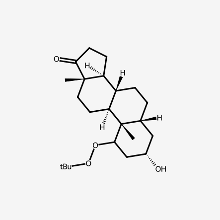 CC(C)(C)OOC1C[C@@H](O)C[C@H]2CC[C@@H]3[C@H](CC[C@]4(C)C(=O)CC[C@@H]34)[C@@]12C